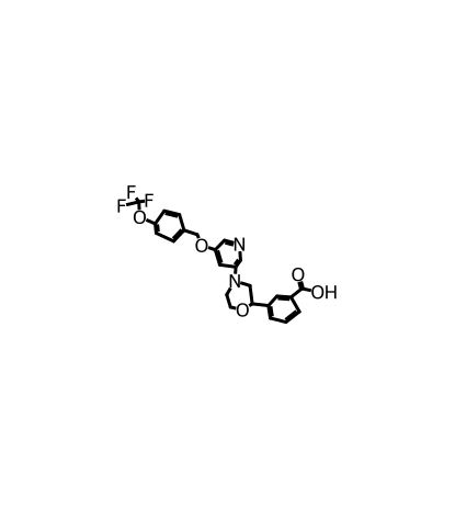 O=C(O)c1cccc(C2CN(c3cncc(OCc4ccc(OC(F)(F)F)cc4)c3)CCO2)c1